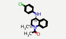 CC(=O)N1c2ccccc2[C@@H](Nc2ccc(Cl)cc2)C[C@H]1C